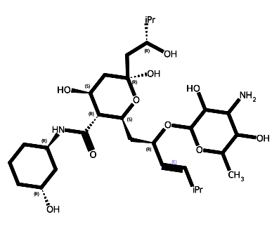 CC(C)/C=C/[C@@H](C[C@@H]1O[C@](O)(C[C@@H](O)C(C)C)C[C@H](O)[C@H]1C(=O)N[C@@H]1CCC[C@@H](O)C1)OC1OC(C)C(O)C(N)C1O